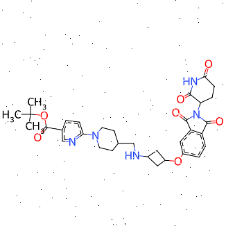 CC(C)(C)OC(=O)c1ccc(N2CCC(CNC3CC(Oc4ccc5c(c4)C(=O)N(C4CCC(=O)NC4=O)C5=O)C3)CC2)nc1